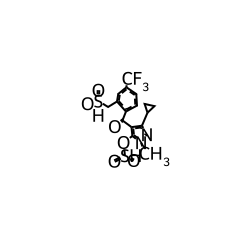 Cn1nc(C2CC2)c(C(=O)c2ccc(C(F)(F)F)cc2C[SH](=O)=O)c1O[SH](=O)=O